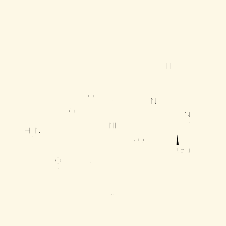 CC(C)(C)[C@H](N)C(=O)N1C[C@@H]2CCC=C=C2[C@H]1C(=O)NC(CC1CCC1)C(=O)C(N)=O